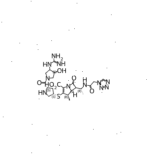 C[C@@H](NC(=O)Cn1cnnn1)C1C(=O)N2C(C(=O)O)=C(S[C@@H]3CN[C@H](C(=O)N4CC(NC(=N)N)[C@@H](O)C4)C3)[C@H](C)[C@H]12